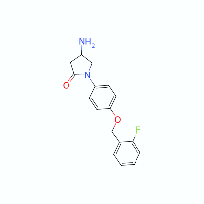 NC1CC(=O)N(c2ccc(OCc3ccccc3F)cc2)C1